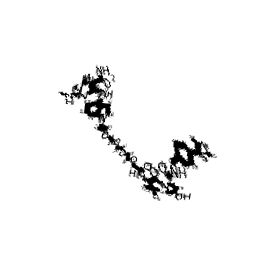 CNc1nnc(C(N)=O)c(Nc2cccc3c2ccn3CCOCCOCCOCCOCC(=O)N[C@H](C(=O)N2C[C@H](O)C[C@H]2C(=O)NCc2ccc(-c3scnc3C)cc2)C(C)(C)C)n1